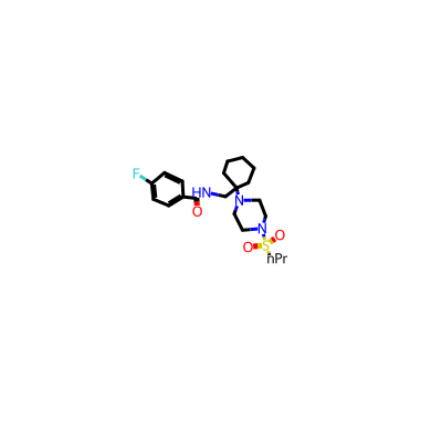 CCCS(=O)(=O)N1CCN(C2(CNC(=O)c3ccc(F)cc3)CCCCC2)CC1